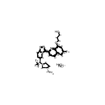 Cl.Cl.N[C@H]1CCN([C@H](c2ccc3nnc(-c4ccc5cc(F)cc(OCCCO)c5n4)n3c2)C(F)(F)F)C1